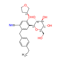 CCc1ccc(Cc2cc([C@@H]3O[C@H](CO)[C@@H](O)[C@H](O)[C@H]3O)c(O[C@H]3CCOC3)cc2C#N)cc1